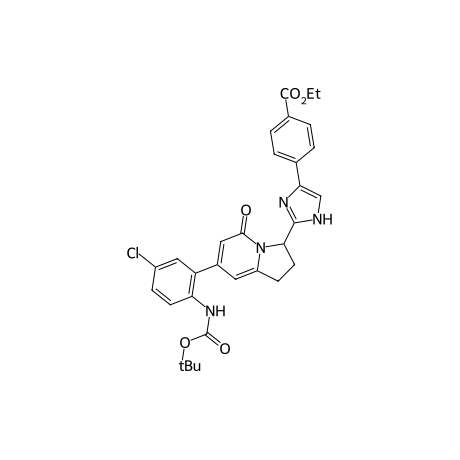 CCOC(=O)c1ccc(-c2c[nH]c(C3CCc4cc(-c5cc(Cl)ccc5NC(=O)OC(C)(C)C)cc(=O)n43)n2)cc1